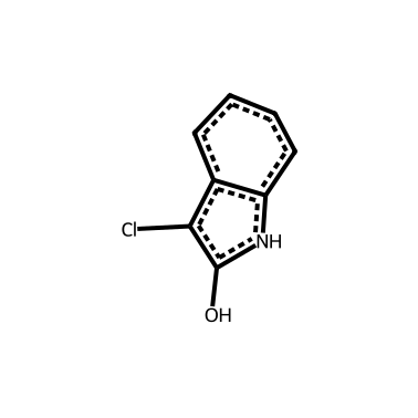 Oc1[nH]c2ccccc2c1Cl